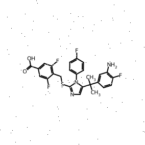 CC(C)(c1ccc(F)c(N)c1)c1cnc(SCc2c(F)cc(C(=O)O)cc2F)n1-c1ccc(F)cc1